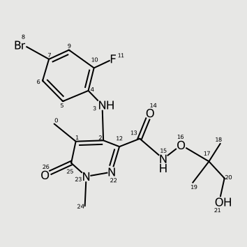 Cc1c(Nc2ccc(Br)cc2F)c(C(=O)NOC(C)(C)CO)nn(C)c1=O